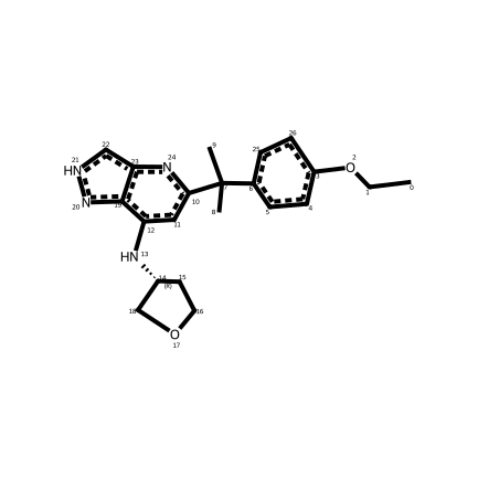 CCOc1ccc(C(C)(C)c2cc(N[C@@H]3CCOC3)c3n[nH]cc3n2)cc1